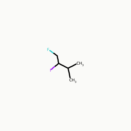 CC(C)C(I)CF